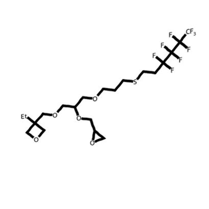 CCC1(COCC(COCCCSCCC(F)(F)C(F)(F)C(F)(F)C(F)(F)F)OCC2CO2)COC1